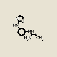 C=CC(N)Nc1cccc(Nc2ncco2)c1